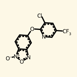 [O-][n+]1onc2cc(Oc3ncc(C(F)(F)F)cc3Cl)ccc21